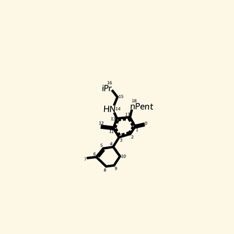 C=c1cc(C2C=C(C)CCC2)c(=C)c(NCC(C)C)c1CCCCC